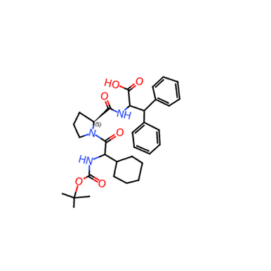 CC(C)(C)OC(=O)NC(C(=O)N1CCC[C@H]1C(=O)NC(C(=O)O)C(c1ccccc1)c1ccccc1)C1CCCCC1